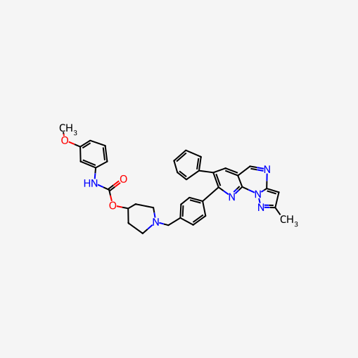 COc1cccc(NC(=O)OC2CCN(Cc3ccc(-c4nc5c(cnc6cc(C)nn65)cc4-c4ccccc4)cc3)CC2)c1